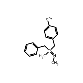 CCCc1ccc(CP(C)(Cc2ccccc2)=NC)cc1